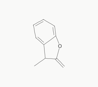 C=C1Oc2ccccc2C1C